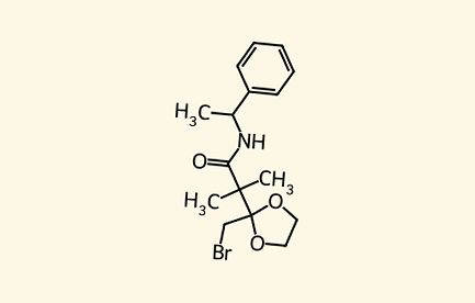 CC(NC(=O)C(C)(C)C1(CBr)OCCO1)c1ccccc1